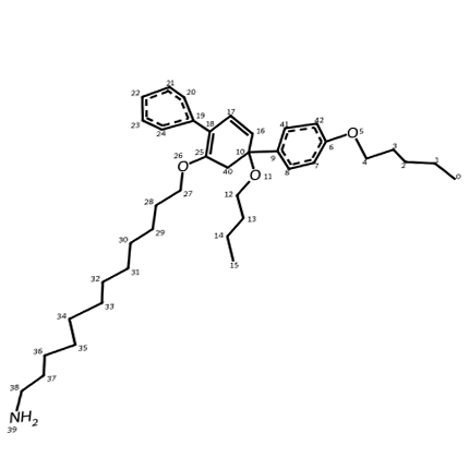 CCCCCOc1ccc(C2(OCCCC)C=CC(c3ccccc3)=C(OCCCCCCCCCCCCN)C2)cc1